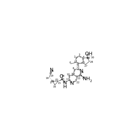 Cc1ccc2c(c1-c1cc3cc(NC(=O)[C@H]4C[C@@H]4CC#N)ncc3c(N)n1)CC[C@]2(C)O